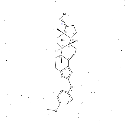 COc1ccc(Nc2nc3c(s2)C2=CC[C@@H]4[C@H](CC[C@]5(C)/C(=N/N)CC[C@@H]45)[C@@]2(C)CC3)cc1